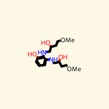 COCCC(O)CNc1cccc(O)c1NCC(O)CCOC